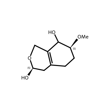 CO[C@H]1CCC2=C(CO[C@H](O)C2)C1O